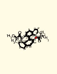 CN(C)C(=O)Oc1ccc2c(c1-c1c(OC(=O)N(C)C)ccc3c1N(C)CCC3)N(C)CCC2